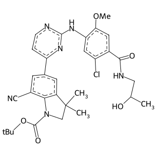 COc1cc(C(=O)NCC(C)O)c(Cl)cc1Nc1nccc(-c2cc(C#N)c3c(c2)C(C)(C)CN3C(=O)OC(C)(C)C)n1